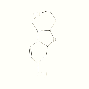 O=C(O)N1C=CN2C(C1)NC1CCNCC12